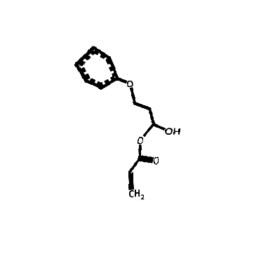 C=CC(=O)OC(O)CCOc1ccccc1